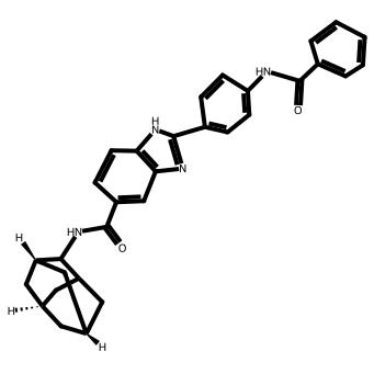 O=C(Nc1ccc(-c2nc3cc(C(=O)NC4C5C[C@H]6C[C@@H](C5)C[C@@H]4C6)ccc3[nH]2)cc1)c1ccccc1